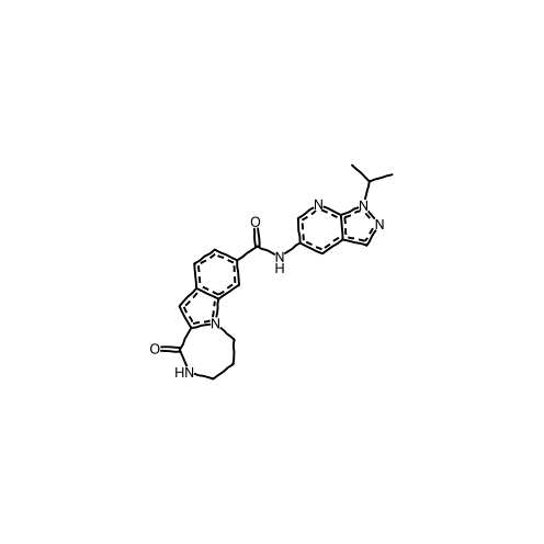 CC(C)n1ncc2cc(NC(=O)c3ccc4cc5n(c4c3)CCCNC5=O)cnc21